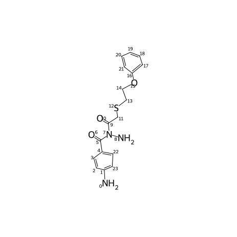 Nc1ccc(C(=O)N(N)C(=O)CSCCOc2ccccc2)cc1